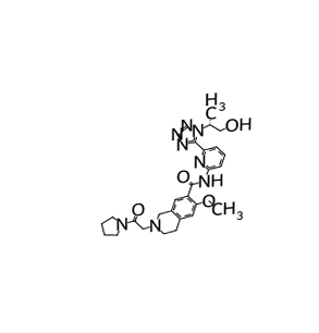 COc1cc2c(cc1C(=O)Nc1cccc(-c3nnnn3[C@H](C)CO)n1)CN(CC(=O)N1CCCC1)CC2